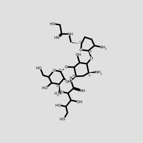 N=C(CO)NC[C@@H]1CCC(N)[C@@H](OC2C(O)C(O[C@H]3OC(CO)C(O)[C@H](N)C3O)[C@H](NC(=N)C(O)C(O)C(O)CO)C[C@@H]2N)O1